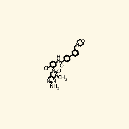 CN1C(=O)N(c2cc(NC(=O)c3ccc(-c4cccc(CN5CCOCC5)c4)cc3)ccc2Cl)Cc2cnc(N)nc21